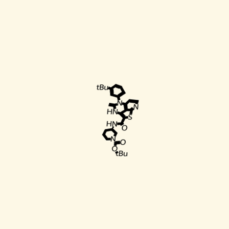 C=c1[nH]c2c(C(=O)N[C@@H]3CCCN(C(=O)OC(C)(C)C)C3)sc3nccc(c32)n1-c1cccc(C(C)(C)C)c1